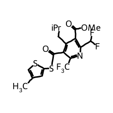 COC(=O)c1c(C(F)F)nc(C(F)(F)F)c(C(=O)Sc2cc(C)cs2)c1CC(C)C